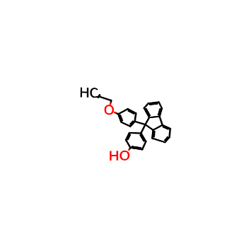 C#CCOc1ccc(C2(c3ccc(O)cc3)c3ccccc3-c3ccccc32)cc1